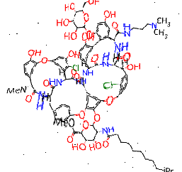 CN[C@H]1C(=O)N[C@@H]2Cc3ccc(cc3)Oc3cc4cc(c3O[C@@H]3O[C@H](C(=O)OC)[C@@H](O)[C@H](O)[C@H]3NC(=O)CCCCCCCCC(C)C)Oc3ccc(cc3Cl)[C@@H](O)[C@@H]3NC(=O)[C@H](NC(=O)[C@@H]4NC(=O)[C@@H](NC2=O)c2cc(cc(O)c2Cl)Oc2cc1ccc2O)c1ccc(O)c(c1)-c1c(OC2O[C@H](CO)[C@@H](O)[C@H](O)[C@@H]2O)cc(O)cc1[C@@H](C(=O)NCCCN(C)C)NC3=O